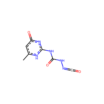 Cc1cc(=O)nc(NC(=O)NN=C=O)[nH]1